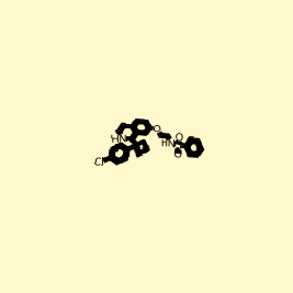 O=S(=O)(NCCOc1ccc2c(c1)C(C1(c3ccc(Cl)cc3)CCC1)NCC2)c1ccccc1